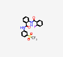 O=C(Nc1ccccc1C(=O)Nc1cccc(S(=O)(=O)C(F)(F)F)c1)c1ccccc1I